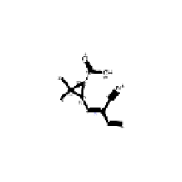 C=C/C(C#N)=C/[C@@H]1[C@@H](C(=O)O)C1(C)C